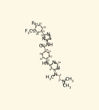 CN(C)CCN(C)c1cc(Nc2ccc(C(=O)Nc3nc(-c4ccc(F)c(C(F)(F)F)c4)ns3)cc2)ncn1